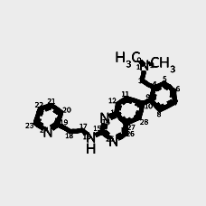 CN(C)Cc1ccccc1-c1ccc2nc(NCCc3ccccn3)ncc2c1